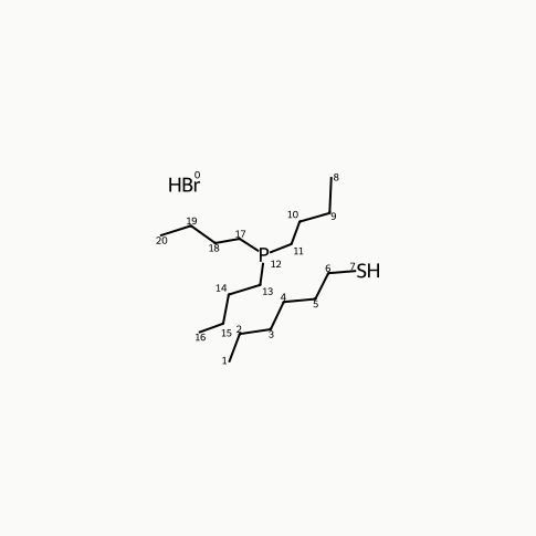 Br.CCCCCCS.CCCCP(CCCC)CCCC